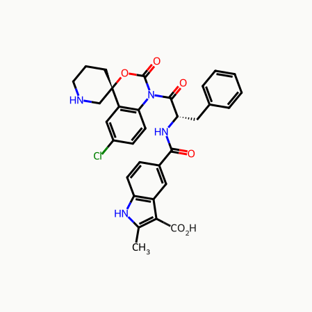 Cc1[nH]c2ccc(C(=O)N[C@@H](Cc3ccccc3)C(=O)N3C(=O)O[C@]4(CCCNC4)c4cc(Cl)ccc43)cc2c1C(=O)O